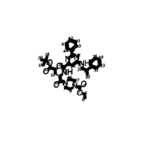 CCOC(=O)N1CCN(C(=O)[C@H](CCC(=O)OC(C)(C)C)NC(=O)c2cc(NCC(C)c3ccccc3)nc(-c3ccccc3)n2)CC1